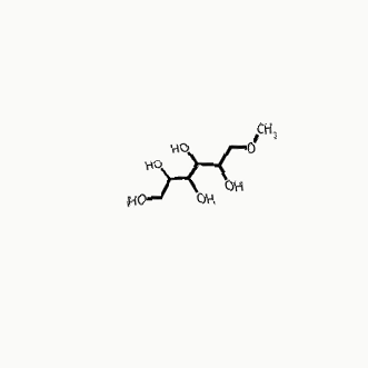 COCC(O)C(O)C(O)C(O)CO